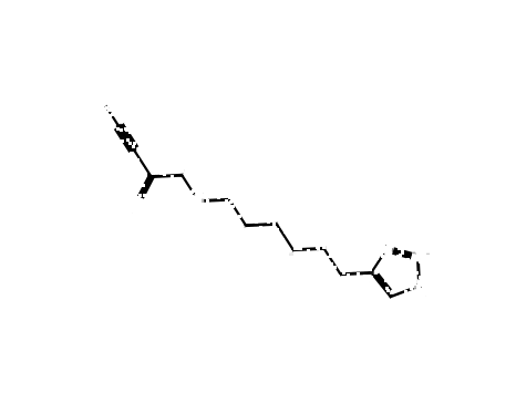 CC#CC(=O)CNCCCCCCc1c[nH]nn1